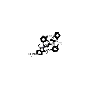 Bc1ccc2c(c1)C(=O)/C(=C/C=C1N(c3c(C(C)C)cccc3C(C)C)c3nc4ccccc4nc3N1c1c(C(C)C)cccc1C(C)C)C2=O